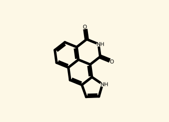 O=C1NC(=O)c2c3[nH]ccc3cc3cccc1c23